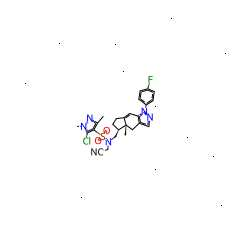 Cc1nn(C)c(Cl)c1S(=O)(=O)N(CC#N)C[C@H]1CCC2=Cc3c(cnn3-c3ccc(F)cc3)C[C@@]21C